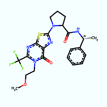 COCCn1c(C(F)(F)F)nc2sc(N3CCCC3C(=O)N[C@H](C)c3ccccc3)nc2c1=O